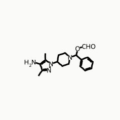 Cc1nn(C2CCN(C(OC=O)c3ccccc3)CC2)c(C)c1N